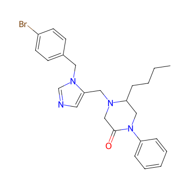 CCCCC1CN(c2ccccc2)C(=O)CN1Cc1cncn1Cc1ccc(Br)cc1